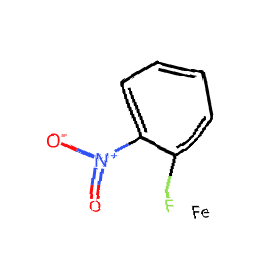 O=[N+]([O-])c1ccccc1F.[Fe]